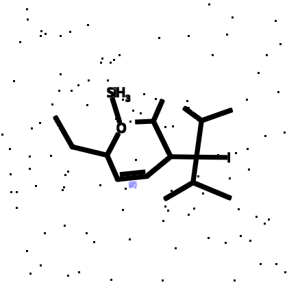 CCC(/C=C\C(C(C)C)C(I)(C(C)C)C(C)C)O[SiH3]